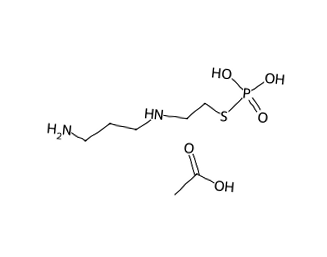 CC(=O)O.NCCCNCCSP(=O)(O)O